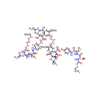 C=CCOC(=O)N[C@H](C(=O)N[C@@H](C)C(=O)Nc1ccc(COC(=O)N2c3cc(OCCCOc4cc5c(cc4OC)C(=O)N4CC(=C)CC4[C@H](O)N5C(=O)OCc4ccc(NC(=O)[C@H](C)NC(=O)[C@H](CC(N)=O)NC(=O)OCCOCCOC)cc4)c(OC)cc3C(=O)N3CC(=C)C[C@H]3[C@@H]2O)cc1)C(C)C